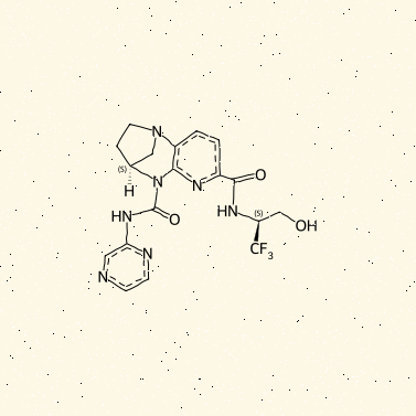 O=C(N[C@@H](CO)C(F)(F)F)c1ccc2c(n1)N(C(=O)Nc1cnccn1)[C@H]1CCN2C1